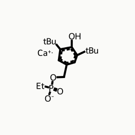 CCP(=O)([O-])OCc1cc(C(C)(C)C)c(O)c(C(C)(C)C)c1.[Ca+]